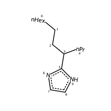 CCCCCCCCC(CCC)c1ncc[nH]1